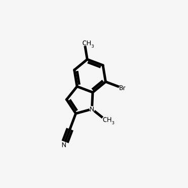 Cc1cc(Br)c2c(c1)cc(C#N)n2C